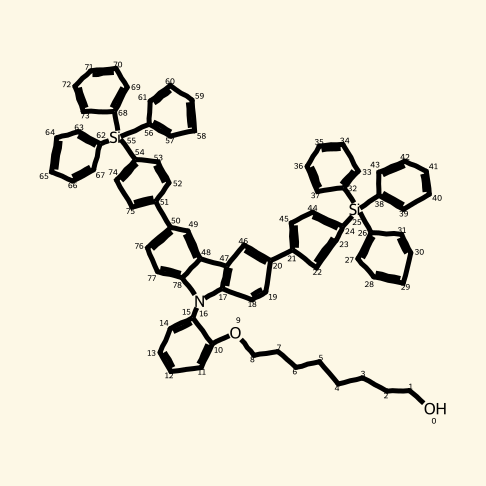 OCCCCCCCCOc1ccccc1-n1c2ccc(-c3ccc([Si](c4ccccc4)(c4ccccc4)c4ccccc4)cc3)cc2c2cc(-c3ccc([Si](c4ccccc4)(c4ccccc4)c4ccccc4)cc3)ccc21